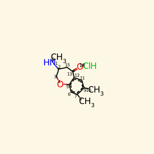 CNC1COc2cc(C)c(C)cc2C(=O)C1.Cl